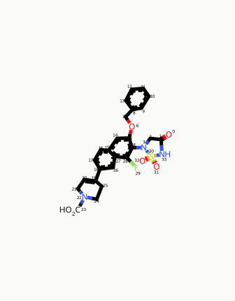 O=C1CN(c2c(OCc3ccccc3)cc3ccc(C4=CCN(C(=O)O)CC4)cc3c2F)S(=O)(=O)N1